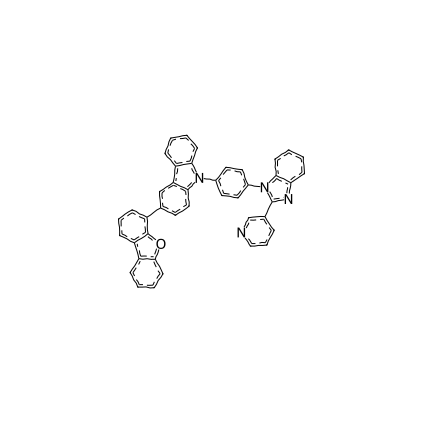 c1cncc(-c2nc3ccccc3n2-c2ccc(-n3c4ccccc4c4cc(-c5cccc6c5oc5ccccc56)ccc43)cc2)c1